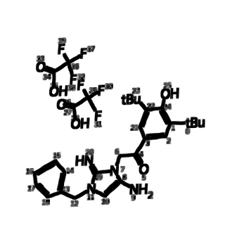 CC(C)(C)c1cc(C(=O)Cn2c(N)cn(Cc3ccccc3)c2=N)cc(C(C)(C)C)c1O.O=C(O)C(F)(F)F.O=C(O)C(F)(F)F